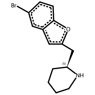 Brc1ccc2oc(C[C@@H]3CCCCN3)cc2c1